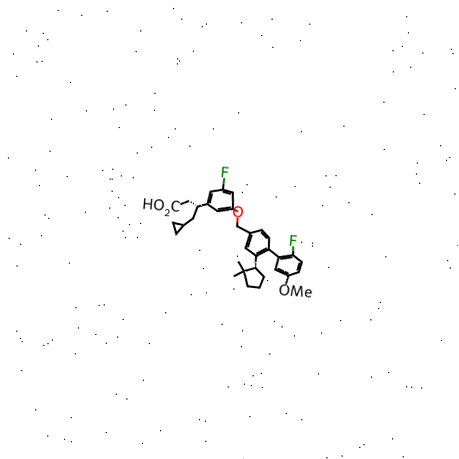 COc1ccc(F)c(-c2ccc(COc3cc(F)cc([C@@H](CC(=O)O)CC4CC4)c3)cc2[C@H]2CCCC2(C)C)c1